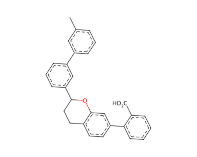 Cc1cccc(-c2cccc(C3CCc4ccc(-c5ccccc5C(=O)O)cc4O3)c2)c1